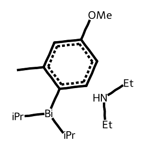 CCNCC.COc1cc[c]([Bi]([CH](C)C)[CH](C)C)c(C)c1